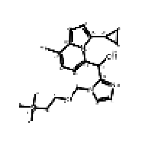 C[Si](C)(C)CCOCn1ccnc1C(O)c1ccc(F)c2ccc(C3CC3)n12